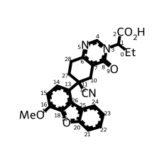 CCC(C(=O)O)n1cnc2c(c1=O)CC(C#N)(c1ccc(OC)c3oc4ccccc4c13)CC2